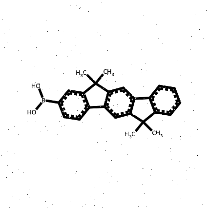 CC1(C)c2ccccc2-c2cc3c(cc21)-c1ccc(B(O)O)cc1C3(C)C